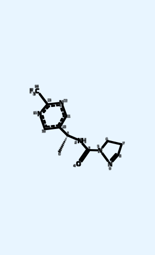 C[C@@H](NC(=O)N1CCC=N1)c1cnc(C(F)(F)F)nc1